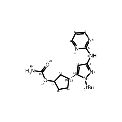 CC(C)(C)n1nc(Nc2ncccn2)cc1[C@@H]1CCC(OC(N)=O)C1